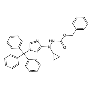 O=C(NN(c1cn(C(c2ccccc2)(c2ccccc2)c2ccccc2)cn1)C1CC1)OCc1ccccc1